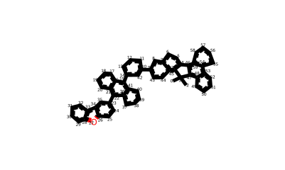 CC1(C)c2c(ccc3cc(-c4cccc(-c5c6ccccc6c(-c6ccc7oc8ccccc8c7c6)c6ccccc56)c4)ccc23)-c2c1c1ccccc1c1ccccc21